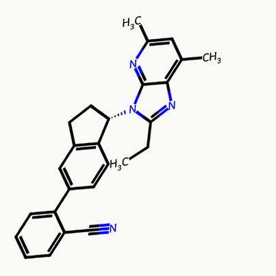 CCc1nc2c(C)cc(C)nc2n1[C@H]1CCc2cc(-c3ccccc3C#N)ccc21